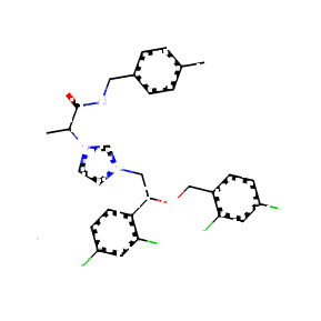 Cc1ccc(CNC(=O)C(C)n2cc[n+](CC(OCc3ccc(Cl)cc3Cl)c3ccc(Cl)cc3Cl)c2)cc1.[Br-]